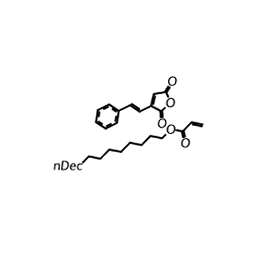 C=CC(=O)OCCCCCCCCCCCCCCCCCC.O=C1C=C(C=Cc2ccccc2)C(=O)O1